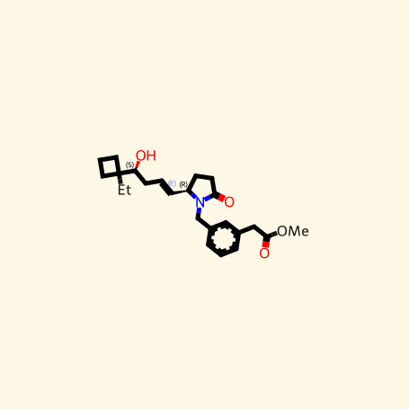 CCC1([C@@H](O)C/C=C/[C@H]2CCC(=O)N2Cc2cccc(CC(=O)OC)c2)CCC1